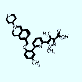 Cc1ccc(OCc2ccc3c(c2)CCN(C2CCOCC2)C3)c(-c2cccc(-c3c(C)c(C(=O)O)nn3C)n2)c1